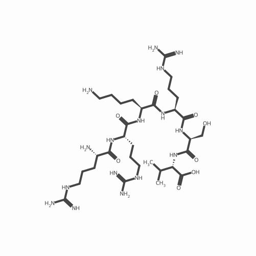 CC(C)[C@H](NC(=O)[C@H](CO)NC(=O)[C@H](CCCNC(=N)N)NC(=O)[C@H](CCCCN)NC(=O)[C@H](CCCNC(=N)N)NC(=O)[C@@H](N)CCCNC(=N)N)C(=O)O